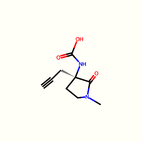 C#CC[C@@]1(NC(=O)O)CCN(C)C1=O